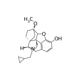 CO[C@]12CC[C@@]3(CC1)[C@H]1Cc4ccc(O)c5c4[C@@]3(CCN1CC1CC1)C2O5